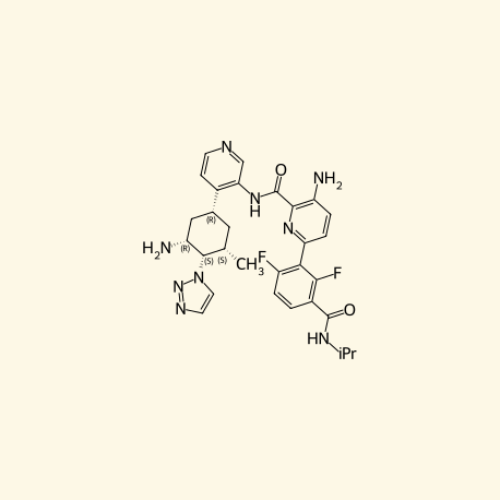 CC(C)NC(=O)c1ccc(F)c(-c2ccc(N)c(C(=O)Nc3cnccc3[C@H]3C[C@@H](N)[C@@H](n4ccnn4)[C@@H](C)C3)n2)c1F